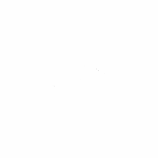 CC(N)(c1ccccc1)C(C#N)c1ccccc1